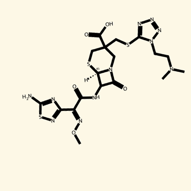 CON=C(C(=O)NC1C(=O)N2CC(CSc3nnnn3CCN(C)C)(C(=O)O)CS[C@H]12)c1nsc(N)n1